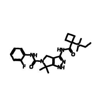 CCS(C)(C)C1(C(=O)Nc2n[nH]c3c2CN(C(=O)Nc2ccccc2F)C3(C)C)CCC1